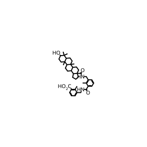 Cc1c(CNC(=O)c2cccc(CNC(=O)C34CCCC3C3CCC5C(C)(CCC6C(C)(C)C(O)CCC65C)C3CC4)c2C)cccc1C(=O)O